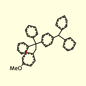 COc1ccc(CC(c2ccccc2)(c2ccccc2)c2ccc(C(c3ccccc3)c3ccccc3)cc2)cc1